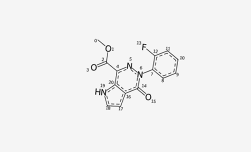 COC(=O)c1nn(-c2ccccc2F)c(=O)c2cc[nH]c12